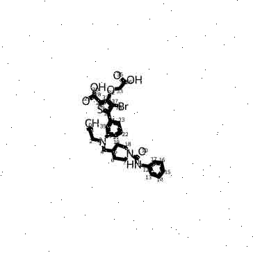 C#CCN(CC1CCN(C(=O)Nc2ccccc2)CC1)c1cccc(-c2sc(C(=O)O)c(OCC(=O)O)c2Br)c1